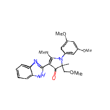 CNC1=C(c2nc3ccccc3[nH]2)C(=O)C(C)(COC)N1c1cc(OC)cc(OC)c1